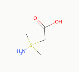 CS(C)(N)CC(=O)O